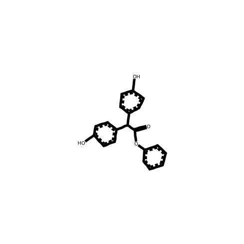 O=C(Oc1ccccc1)C(c1ccc(O)cc1)c1ccc(O)cc1